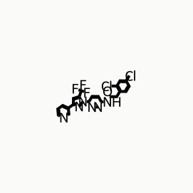 O=C(Cc1ccc(Cl)cc1Cl)Nc1ccc(-n2nc(-c3cccnc3)cc2C(F)(F)F)nn1